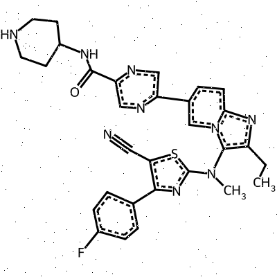 CCc1nc2ccc(-c3cnc(C(=O)NC4CCNCC4)cn3)cn2c1N(C)c1nc(-c2ccc(F)cc2)c(C#N)s1